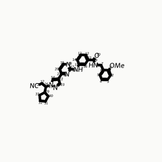 COc1ccccc1CNC(=O)c1cccc(Nc2nccc(-c3cnn(C(CC#N)C4CCCC4)c3)n2)c1